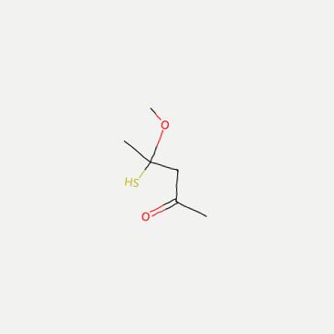 COC(C)(S)CC(C)=O